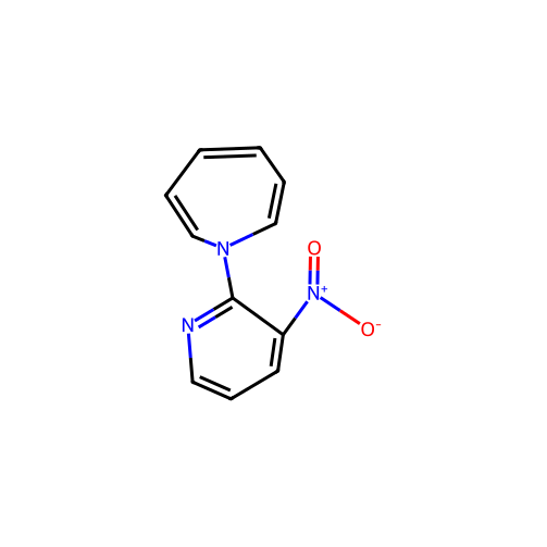 O=[N+]([O-])c1cccnc1N1C=CC=CC=C1